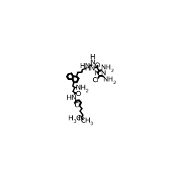 CN(C)CCCc1ccc(NC(=O)CC(N)Cc2ccc(CCCCNC(=N)NC(=O)c3nc(Cl)c(N)nc3N)c3ccccc23)cc1